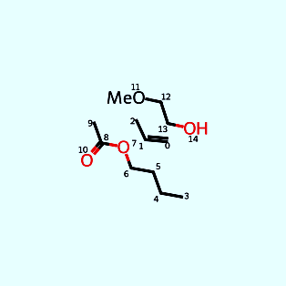 C=CC.CCCCOC(C)=O.COCCO